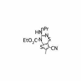 CCCNC1=NSc2c(sc(C)c2C#N)N1C(=O)OCC